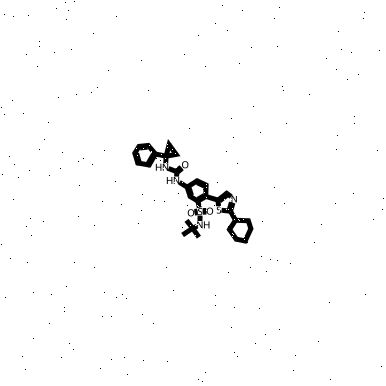 CC(C)(C)NS(=O)(=O)c1cc(NC(=O)NC2(c3ccccc3)CC2)ccc1-c1cnc(C2CCCCC2)s1